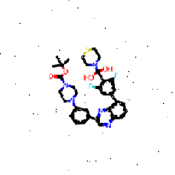 CC(C)(C)OC(=O)N1CCN(c2cccc(-c3cnc4cccc(-c5cc(F)c(C(O)(O)N6CCSCC6)c(F)c5)c4n3)c2)CC1